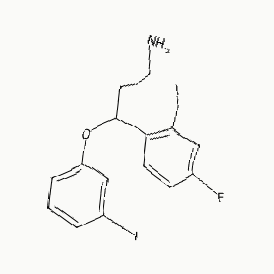 NCCC(Oc1cccc(I)c1)c1ccc(F)cc1I